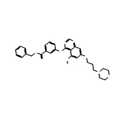 COc1cc(OCCCN2CCOCC2)cc2ncnc(Oc3cccc(C(=O)NCc4ccccc4)c3)c12